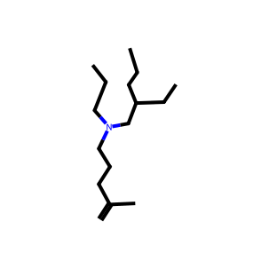 C=C(C)CCCN(CCC)CC(CC)CCC